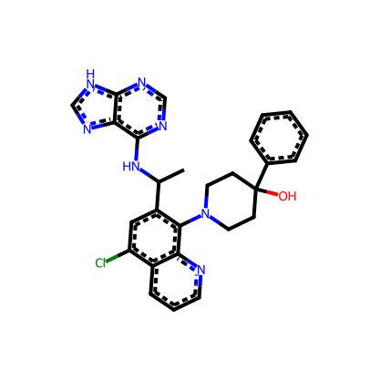 CC(Nc1ncnc2[nH]cnc12)c1cc(Cl)c2cccnc2c1N1CCC(O)(c2ccccc2)CC1